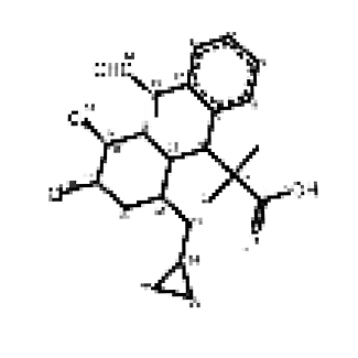 CC(C)(C(O)=S)C(c1ccccc1NC=O)C1C[C@H](Cl)C(Cl)CC1CC1CC1